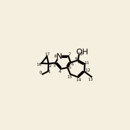 CCC1(c2cc3c(cn2)C(O)=CC(C)=CC3)CC1